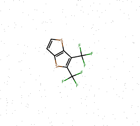 FC(F)(F)c1sc2ccsc2c1C(F)(F)F